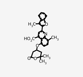 Cc1c(-c2cc(C(=O)O)c3c(OC4CC(=O)OC(C)(C)C4)ccc(C)c3n2)oc2ccccc12